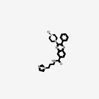 O=C(NCCCn1ccnc1)c1ccc2nc(-c3ccccc3)c(N3CC[S+]([O-])CC3)nc2c1